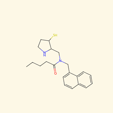 CCCCC(=O)N(Cc1cccc2ccccc12)CC1NCCC1S